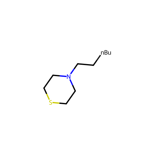 CCCCCCN1CCSCC1